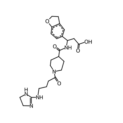 O=C(O)CC(NC(=O)C1CCN(C(=O)CCCNC2=NCCN2)CC1)c1ccc2c(c1)CCO2